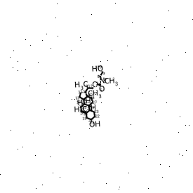 C[C@H](COC(=O)N(C)CCO)[C@H]1CC[C@H]2[C@@H]3CC=C4C[C@@H](O)CC[C@]4(C)[C@H]3CC[C@]12C